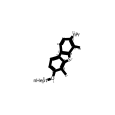 CCCCCCCOc1ccc2c(sc3c(C)c(CCC)ccc32)c1C